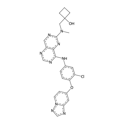 CN(CC1(O)CCC1)c1ncc2ncnc(Nc3ccc(Oc4ccn5ncnc5c4)c(Cl)c3)c2n1